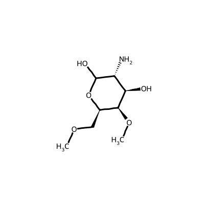 COC[C@H]1OC(O)[C@H](N)[C@@H](O)[C@H]1OC